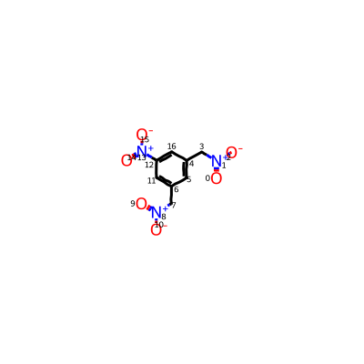 O=[N+]([O-])Cc1cc(C[N+](=O)[O-])cc([N+](=O)[O-])c1